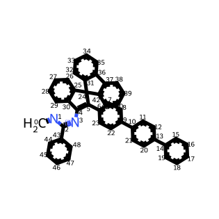 C=N/C(=N\C1=C(c2ccc(-c3ccc(-c4ccccc4)cc3)cc2)C2(c3ccccc31)c1ccccc1-c1ccccc12)c1ccccc1